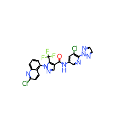 O=C(Nc1cnc(-n2nccn2)c(Cl)c1)c1cnn(-c2cccc3nc(Cl)ccc23)c1C(F)(F)F